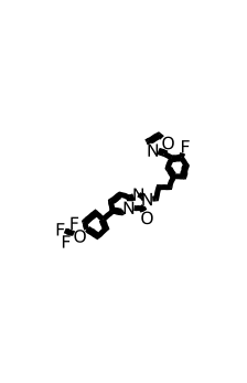 O=c1n(CCCc2ccc(F)c(-c3ncco3)c2)nc2ccc(-c3ccc(OC(F)(F)F)cc3)cn12